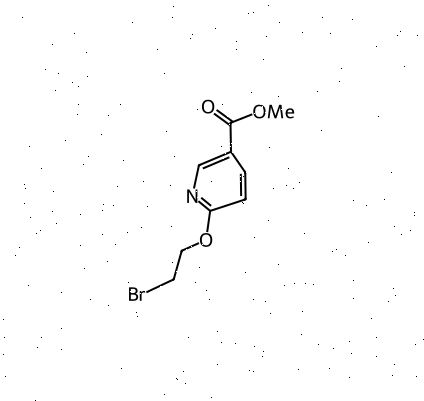 COC(=O)c1ccc(OCCBr)nc1